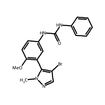 COc1ccc(NC(=O)Nc2ccccc2)cc1-c1c(Br)cnn1C